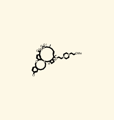 COCCN1CCN(CCO[C@@]2(C)/C=C/C[C@H](C)[C@@H](C)S(=O)(=O)NC(=O)c3ccc4c(c3)N(CCCCc3cc(Cl)ccc3CO4)C[C@@H]3CC[C@H]32)CC1